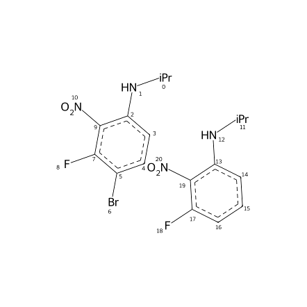 CC(C)Nc1ccc(Br)c(F)c1[N+](=O)[O-].CC(C)Nc1cccc(F)c1[N+](=O)[O-]